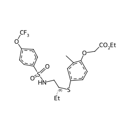 CCOC(=O)COc1ccc(S[C@H](CC)CNS(=O)(=O)c2ccc(OC(F)(F)F)cc2)cc1C